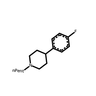 CCCCCN1CCC(c2ccc(F)cc2)CC1